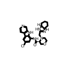 O=C(Nc1cc(Cl)cc2c1[nH]c1cnccc12)[C@@H]1COCCN1CC1=N[C@H]2CCCC[C@@H]2N1